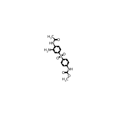 COC(=O)Nc1ccc(S(=O)(=O)c2ccc(NC(C)=O)c(N)c2)cc1